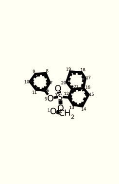 C=O.O=S(=O)(Oc1ccccc1)c1cccc2ccccc12